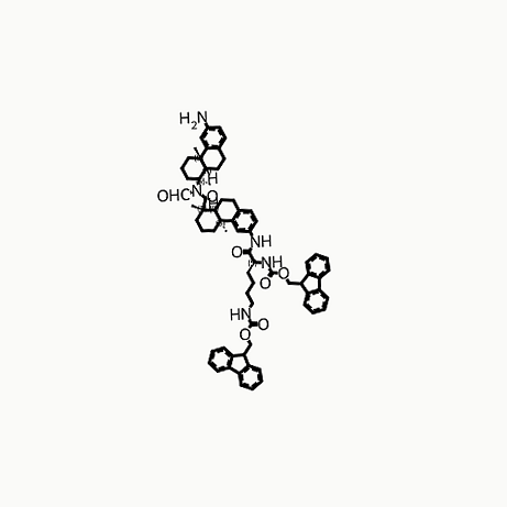 C[C@]1(N(C=O)C(=O)[C@@]2(C)CCC[C@]3(C)c4cc(NC(=O)[C@H](CCCCNC(=O)OCC5c6ccccc6-c6ccccc65)NC(=O)OCC5c6ccccc6-c6ccccc65)ccc4CC[C@@H]23)CCC[C@]2(C)c3cc(N)ccc3CC[C@@H]12